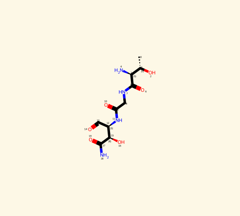 C[C@H](O)[C@H](N)C(=O)NCC(=O)N[C@H]([C]=O)[C@@H](O)C(N)=O